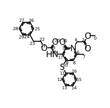 COC(=O)Cn1c(C)cc(Sc2ccccc2)c(NC(=O)OCCc2ccccc2)c1=O